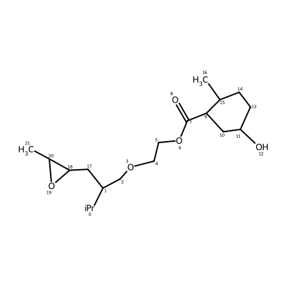 CC(C)C(COCCOC(=O)C1CC(O)CCC1C)CC1OC1C